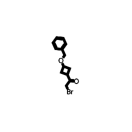 O=C(CBr)C1CC(OCc2ccccc2)C1